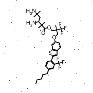 CCCCCc1ccc(-c2cc3ccc(OCC(C)(COC(=O)C(C)(C)C(N)CC(C)(C)N)C(F)(F)F)cc3s2)c(C(F)(F)F)c1